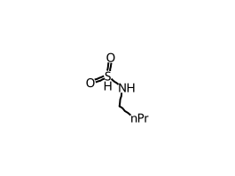 [CH2]CCCN[SH](=O)=O